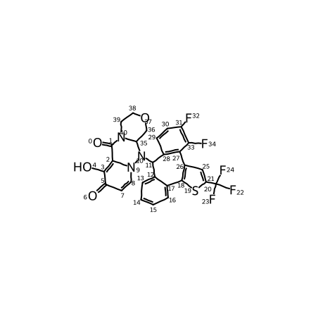 O=C1c2c(O)c(=O)ccn2N(C2c3ccccc3-c3sc(C(F)(F)F)cc3-c3c2ccc(F)c3F)C2COCCN12